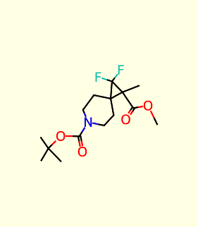 COC(=O)C1(C)C(F)(F)C12CCN(C(=O)OC(C)(C)C)CC2